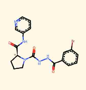 O=C(NNC(=O)N1CCC[C@H]1C(=O)Nc1cccnc1)c1cccc(Br)c1